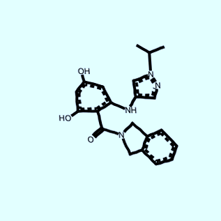 CC(C)n1cc(Nc2cc(O)cc(O)c2C(=O)N2Cc3ccccc3C2)cn1